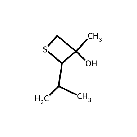 CC(C)C1SCC1(C)O